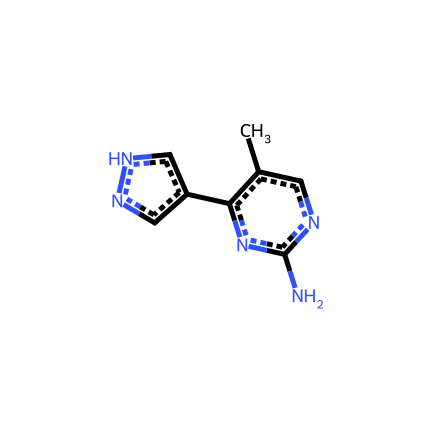 Cc1cnc(N)nc1-c1cn[nH]c1